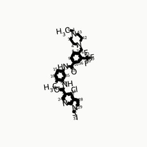 CCN1CCN(Cc2ccc(C(=O)Nc3ccc(C)c(NC(=O)c4cnc5c(ccn5SI)c4Cl)c3)cc2C(F)(F)F)CC1